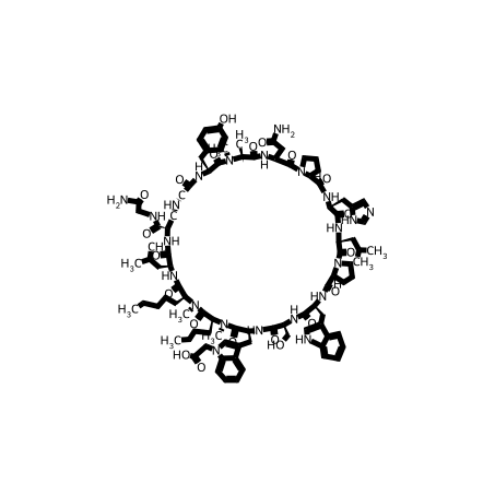 CCCCC[C@H]1C(=O)N[C@@H](CC(C)C)C(=O)N[C@H](C(=O)NCC(N)=O)CNCC(=O)N[C@@H](Cc2ccc(O)cc2)C(=O)N(C)[C@@H](C)C(=O)NC(CC(N)=O)C(=O)N2CCC[C@H]2C(=O)N[C@@H](Cc2cnc[nH]2)C(=O)N[C@@H](CC(C)C)C(=O)N2CCC[C@H]2C(=O)N[C@@H](Cc2c[nH]c3ccccc23)C(=O)N[C@@H](CO)C(=O)N[C@@H](Cc2cn(CC(=O)O)c3ccccc23)C(=O)N(C)[C@@H](CCCC)C(=O)N1C